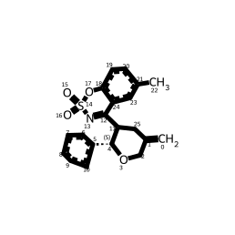 C=C1CO[C@H](c2ccccc2)C(C2=NS(=O)(=O)Oc3ccc(C)cc32)C1